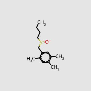 CCCC[S+]([O-])Cc1cc(C)c(C)cc1C